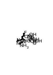 Nc1ncnc2c(CC(CF)OCP(=O)(O)OP(=O)(O)OP(=O)(O)O)cnn12